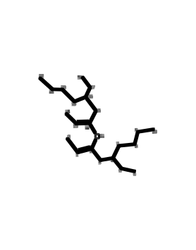 CC=C(CC(CC)CCCC)OC(=CC)CC(CC)CCCC